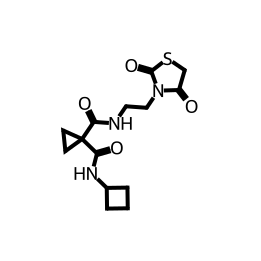 O=C1CSC(=O)N1CCNC(=O)C1(C(=O)NC2CCC2)CC1